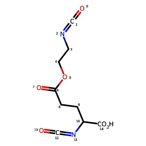 O=C=NCCOC(=O)CCC(N=C=O)C(=O)O